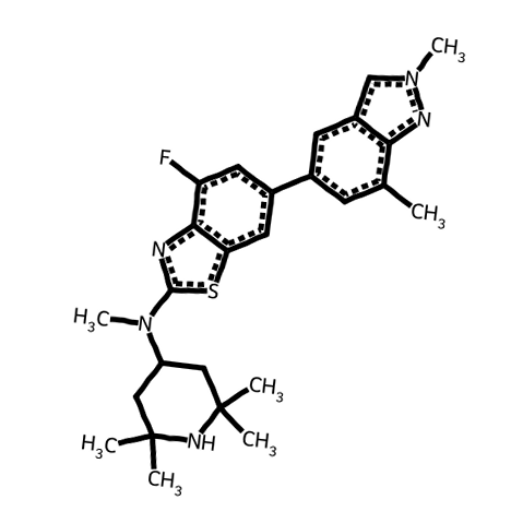 Cc1cc(-c2cc(F)c3nc(N(C)C4CC(C)(C)NC(C)(C)C4)sc3c2)cc2cn(C)nc12